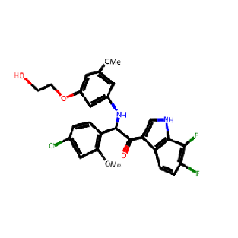 COc1cc(NC(C(=O)c2c[nH]c3c(F)c(F)ccc23)c2ccc(Cl)cc2OC)cc(OCCO)c1